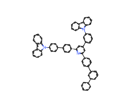 c1ccc(-c2cccc(-c3ccc(-c4cc(-c5cccc(-n6c7ccccc7c7ccccc76)c5)cc(-c5ccc(-c6ccc(-n7c8ccccc8c8ccccc87)cc6)cc5)n4)cc3)c2)cc1